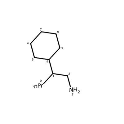 CC[CH]C(CN)C1CCCCC1